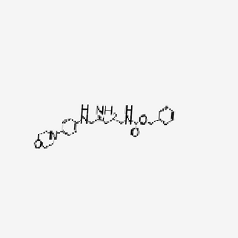 N[C@@H](CCCNC(=O)OCc1ccccc1)CNc1ccc(N2CCOCC2)cc1